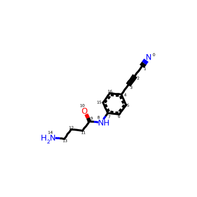 N#CC#Cc1ccc(NC(=O)CCCN)cc1